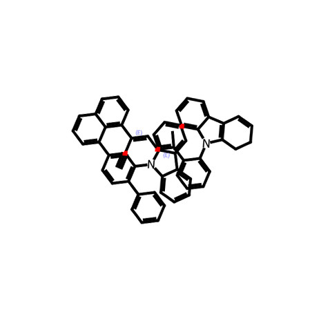 C#C/C(=C\C=C(/C)c1ccccc1-n1c2c(c3ccccc31)C=CCC2)c1cccc2cccc(-c3ccc(-c4ccccc4)c(-n4c5ccccc5c5ccccc54)c3)c12